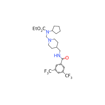 CCOC(=O)N(CN1CCC(CNC(=O)c2cc(C(F)(F)F)cc(C(F)(F)F)c2)CC1)C1CCCC1